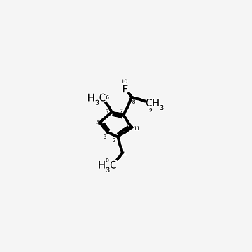 CCc1ccc(C)c(C(C)F)c1